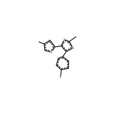 Cc1csc(-c2sc(C)nc2-c2ccc(F)cc2)c1